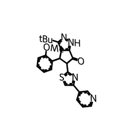 COc1ccccc1C1c2c(C(C)(C)C)n[nH]c2C(=O)C1c1nc(-c2cccnc2)cs1